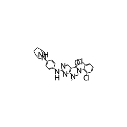 CN1CN(c2c(Cl)cccc2Cl)C(=O)c2cnc(Nc3ccc(N4CC5CCC(C4)N5)cc3)nc21